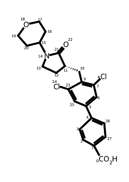 O=C(O)c1ccc(-c2cc(Cl)c(C[C@@H]3CCN(C4CCOCC4)C3=O)c(Cl)c2)cc1